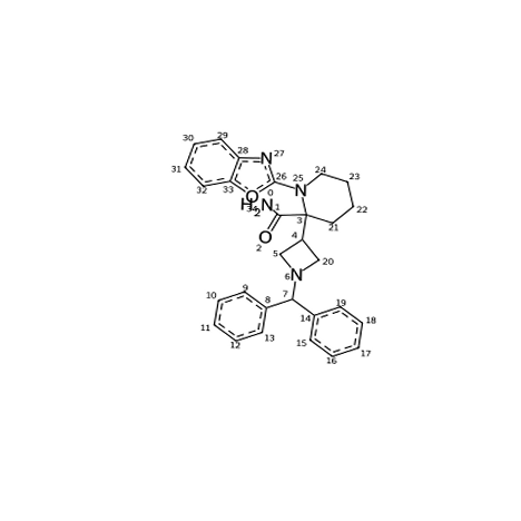 NC(=O)C1(C2CN(C(c3ccccc3)c3ccccc3)C2)CCCCN1c1nc2ccccc2o1